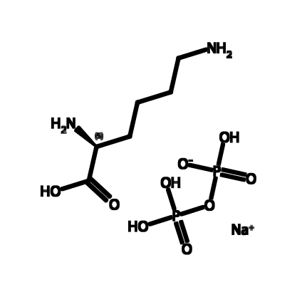 NCCCC[C@H](N)C(=O)O.O=P([O-])(O)OP(=O)(O)O.[Na+]